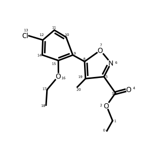 CCOC(=O)c1noc(-c2ccc(Cl)cc2OCC)c1C